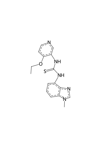 CCOc1ccncc1NC(=S)Nc1cccc2c1ncn2C